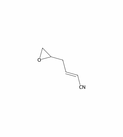 N#CC=CCC1CO1